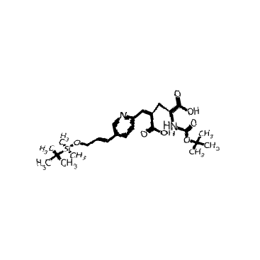 CC(C)(C)OC(=O)N[C@@H](C[C@H](Cc1ccc(C=CCO[Si](C)(C)C(C)(C)C)cn1)C(=O)O)C(=O)O